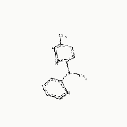 CN(c1cnccn1)c1ccc(C(F)(F)F)nn1